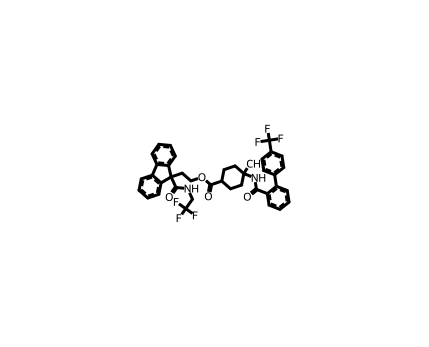 CC1(NC(=O)c2ccccc2-c2ccc(C(F)(F)F)cc2)CCC(C(=O)OCCC2(C(=O)NCC(F)(F)F)c3ccccc3-c3ccccc32)CC1